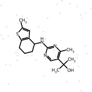 Cc1cc2c(s1)CCCC2Nc1ncc(C(C)(C)O)c(C)n1